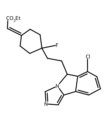 CCOC(=O)C=C1CCC(F)(CCC2c3c(Cl)cccc3-c3cncn32)CC1